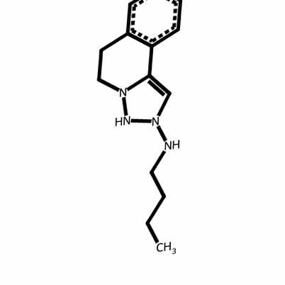 CCCCNN1C=C2c3ccccc3CCN2N1